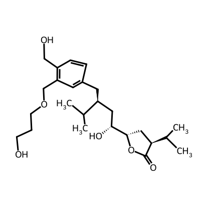 CC(C)[C@@H](Cc1ccc(CO)c(COCCCO)c1)C[C@@H](O)[C@@H]1C[C@@H](C(C)C)C(=O)O1